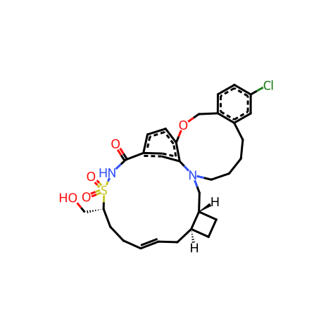 O=C1NS(=O)(=O)[C@@H](CO)CC/C=C/C[C@@H]2CC[C@H]2CN2CCCCc3cc(Cl)ccc3COc3ccc1cc32